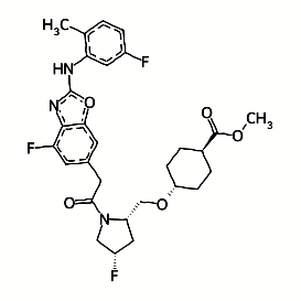 COC(=O)[C@H]1CC[C@H](OC[C@@H]2C[C@H](F)CN2C(=O)Cc2cc(F)c3nc(Nc4cc(F)ccc4C)oc3c2)CC1